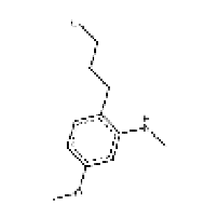 CNc1cc(OC)ccc1CCCCl